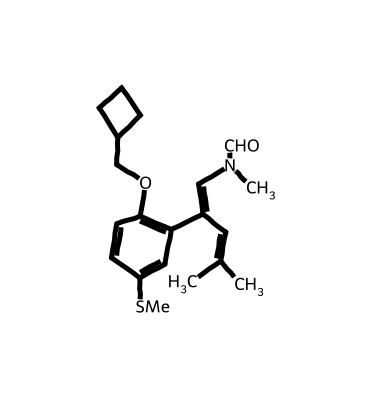 CSc1ccc(OCC2CCC2)c(/C(C=C(C)C)=C/N(C)C=O)c1